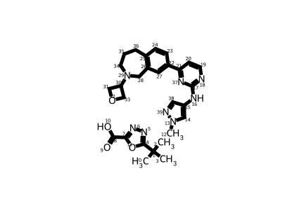 CC(C)(C)c1nnc(C(=O)O)o1.Cn1cc(Nc2nccc(-c3ccc4c(c3)CN(C3COC3)CCC4)n2)cn1